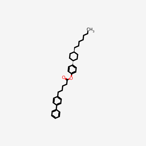 CCCCCCC[C@H]1CC[C@H](c2ccc(OC(=O)CCCCc3ccc(-c4ccccc4)cc3)cc2)CC1